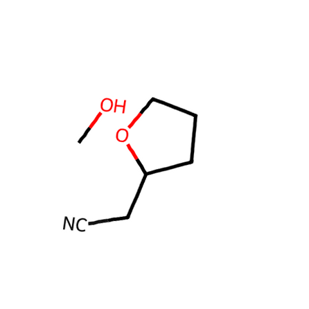 CO.N#CCC1CCCO1